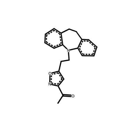 CC(=O)c1cc(CCN2c3ccccc3CCc3ccccc32)on1